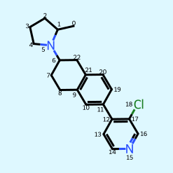 CC1CCCN1C1CCc2cc(-c3ccncc3Cl)ccc2C1